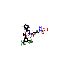 CN(CC(COCc1cc(C(F)(F)F)cc(C(F)(F)F)c1)c1ccccc1)C(=O)CCCCNC(=O)O